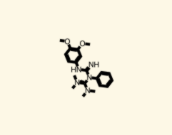 COc1ccc(NC(=N)N(C(N(C)C)=[N+](C)C)c2ccccc2)cc1OC